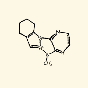 Cn1c2nccnc2n2c3c(c[n+]12)CCCC3